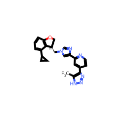 FC(F)(F)c1[nH]nnc1-c1ccnc(-c2cn(C[C@H]3COc4cccc(C5CC5)c43)cn2)c1